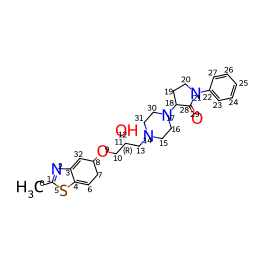 Cc1nc2c(s1)=CCC(OC[C@H](O)CN1CCN(C3CCN(c4ccccc4)C3=O)CC1)C=2